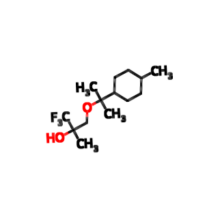 CC1CCC(C(C)(C)OCC(C)(O)C(F)(F)F)CC1